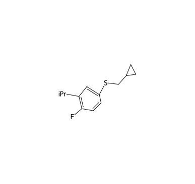 CC(C)c1cc(SCC2CC2)ccc1F